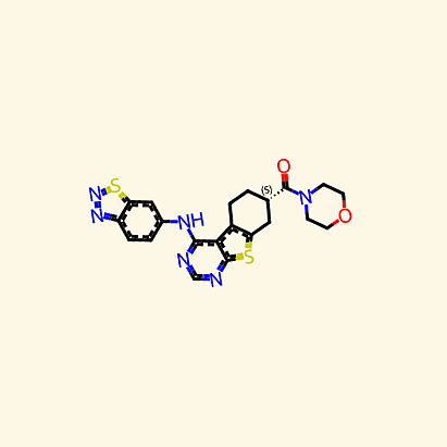 O=C([C@H]1CCc2c(sc3ncnc(Nc4ccc5nnsc5c4)c23)C1)N1CCOCC1